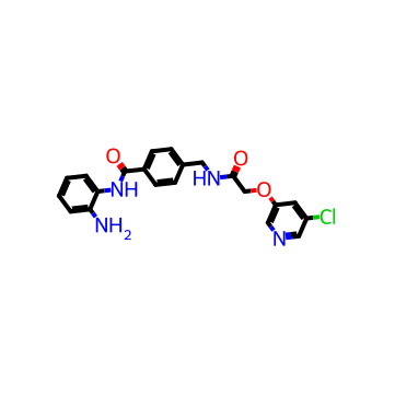 Nc1ccccc1NC(=O)c1ccc(CNC(=O)COc2cncc(Cl)c2)cc1